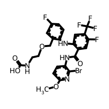 COc1ccc(NC(=O)c2cc(F)c(C(F)(F)F)cc2Nc2ccc(F)cc2COCCNC(=O)O)c(Br)n1